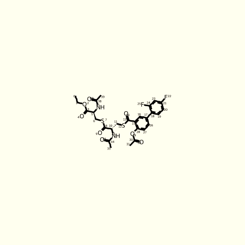 CCOC(=O)[C@H](CSC(=O)[C@H](CSC(=O)c1cc(-c2ccc(F)cc2F)ccc1OC(C)=O)NC(C)=O)NC(C)=O